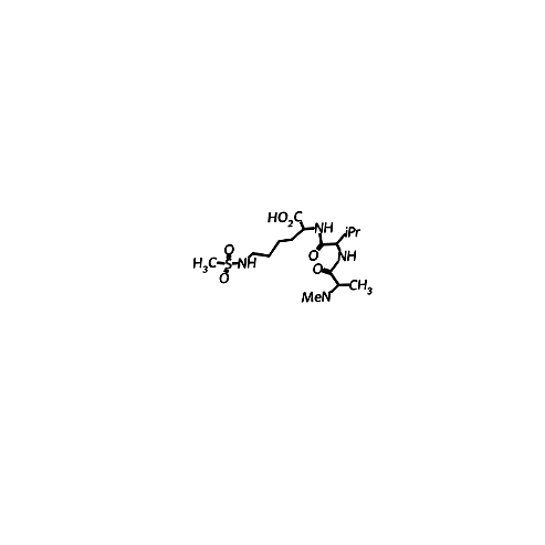 CNC(C)C(=O)NC(C(=O)NC(CCCCNS(C)(=O)=O)C(=O)O)C(C)C